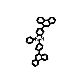 c1ccc(-n2c(-c3ccc(-c4cc5ccccc5c5ccccc45)cc3)nc3cc(-c4cc5ccccc5c5ccccc45)ccc32)cc1